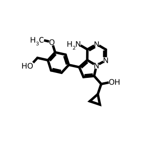 COc1cc(-c2cc(C(O)C3CC3)n3ncnc(N)c23)ccc1CO